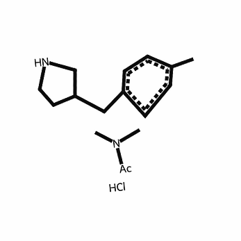 CC(=O)N(C)C.Cc1ccc(CC2CCNC2)cc1.Cl